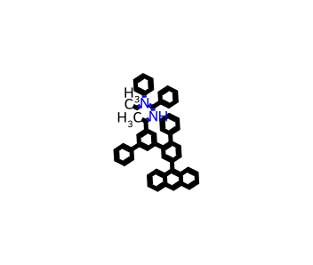 CCN(c1ccccc1)C(NC(C)c1cc(-c2ccccc2)cc(-c2cc(-c3c4ccccc4cc4ccccc34)ccc2-c2ccccc2)c1)c1ccccc1